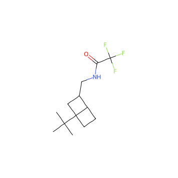 CC(C)(C)C12CCC1C(CNC(=O)C(F)(F)F)C2